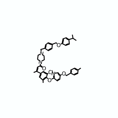 C/C(=C/C(=O)N1CCN(Cc2ccc(COc3ccc(C(C)C)cc3)cc2)CC1)c1cc(C)c(Oc2ccc(OCc3ccc(C)cc3)cn2)c(Cl)c1